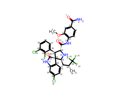 COc1cc(C(N)=O)ccc1NC(=O)[C@@H]1N[C@@H](C[C@@H](C)C(F)(F)F)[C@@]2(C(=O)Nc3cc(Cl)ccc32)[C@H]1c1cccc(Cl)c1F